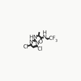 CC(Nc1nc(Cl)cc(Cl)n1)C(=O)NCC(F)(F)F